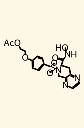 CC(=O)OCCOc1ccc(S(=O)(=O)N2Cc3nccnc3CC2C(=O)NO)cc1